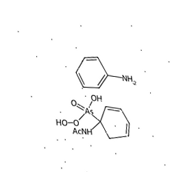 CC(=O)NC1([As](=O)(O)OO)C=CC=CC1.Nc1ccccc1